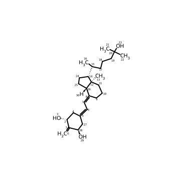 C=C1[C@H](O)CC(=C/C=C2\CCC[C@]3(C)[C@@H](C(C)CCCC(C)(C)O)CC[C@@H]23)C[C@H]1O